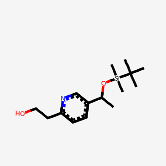 CC(O[Si](C)(C)C(C)(C)C)c1ccc(CCO)nc1